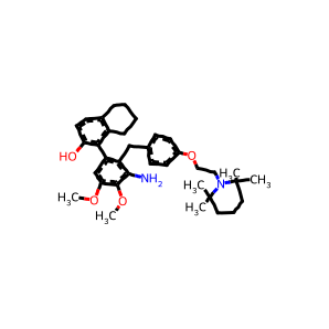 COc1cc(-c2c(O)ccc3c2CCCC3)c(Cc2ccc(OCCN3C(C)(C)CCCC3(C)C)cc2)c(N)c1OC